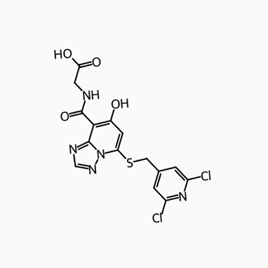 O=C(O)CNC(=O)c1c(O)cc(SCc2cc(Cl)nc(Cl)c2)n2ncnc12